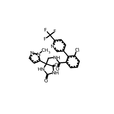 Cn1nccc1C1(CNC(=O)c2cccc(Cl)c2-c2ccc(C(F)(F)F)nc2)NC(=O)NC1=O